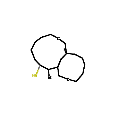 CC[C@@H]1C2CCCCCCC[C@@H](CCCCCCC[C@H]1S)C2